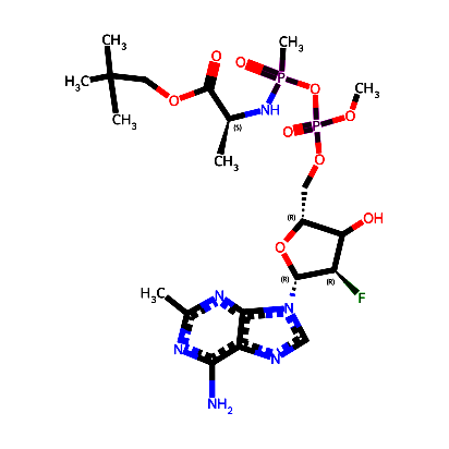 COP(=O)(OC[C@H]1O[C@@H](n2cnc3c(N)nc(C)nc32)[C@H](F)C1O)OP(C)(=O)N[C@@H](C)C(=O)OCC(C)(C)C